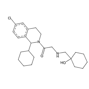 O=C(CNCC1(O)CCCCC1)N1CCc2cc(Cl)ccc2C1C1CCCCC1